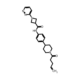 C=CCCC(=O)N1CCC(c2ccc(NC(=O)C3CN(c4cccnn4)C3)cc2)CC1